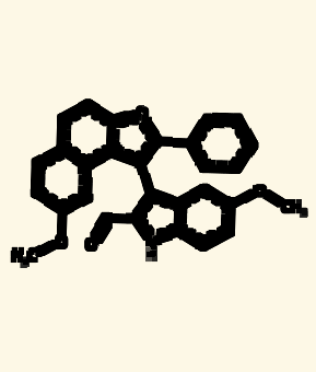 COc1ccc2[nH]c(C=O)c(-c3c(-c4ccccc4)oc4ccc5ccc(OC)cc5c34)c2c1